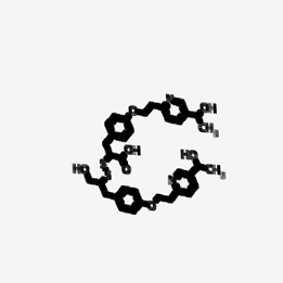 CC(O)c1ccc(CCOc2ccc(CC(CO)SSC(Cc3ccc(OCCc4ccc(C(C)O)cn4)cc3)C(=O)O)cc2)nc1